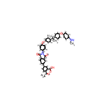 CNc1ccc(Oc2ccc(C(C)(C)c3ccc(Oc4ccc(N5C(=O)c6ccc(-c7ccc(C(C)=O)c(C(=O)O)c7)cc6C5=O)cc4)cc3)cc2)cc1